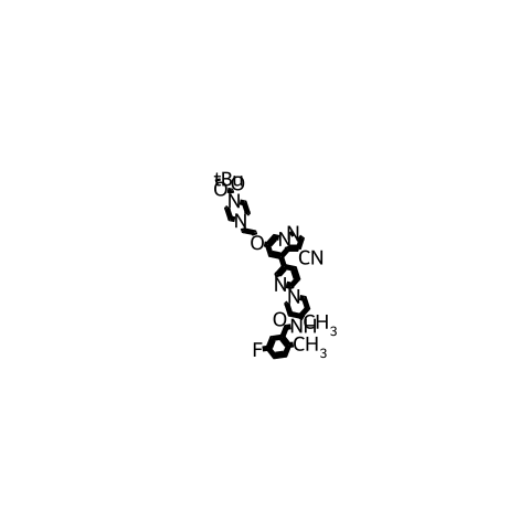 Cc1ccc(F)cc1C(=O)NC1(C)CCN(c2ccc(-c3cc(OCCN4CCN(C(=O)OC(C)(C)C)CC4)cn4ncc(C#N)c34)cn2)CC1